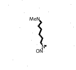 CNCCCCCCN(C)N=O